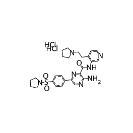 Cl.Cl.Nc1ncc(-c2ccc(S(=O)(=O)N3CCCC3)cc2)nc1C(=O)Nc1cnccc1CCN1CCCC1